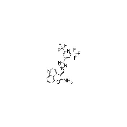 NC(=O)/C(=C/n1cnc(-c2cc(C(F)(F)F)nc(C(F)(F)F)c2)n1)c1ccnc2ccccc12